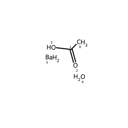 CC(=O)O.O.[BaH2]